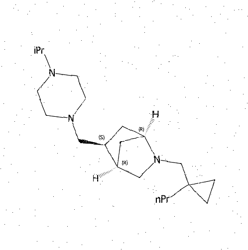 CCCC1(CN2C[C@@H]3C[C@H]2C[C@@H]3CN2CCN(C(C)C)CC2)CC1